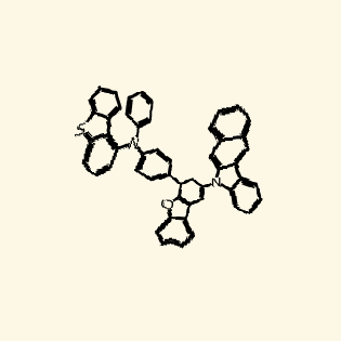 C1=C(n2c3ccccc3c3cc4ccccc4cc32)CC(c2ccc(N(c3ccccc3)c3cccc4sc5ccccc5c34)cc2)c2oc3ccccc3c21